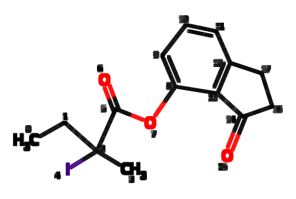 CCC(C)(I)C(=O)Oc1cccc2c1C(=O)CC2